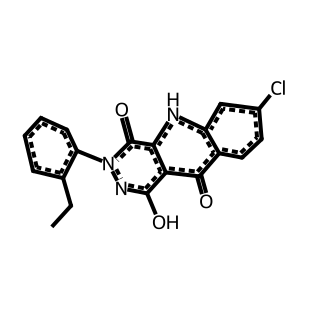 CCc1ccccc1-n1nc(O)c2c(=O)c3ccc(Cl)cc3[nH]c2c1=O